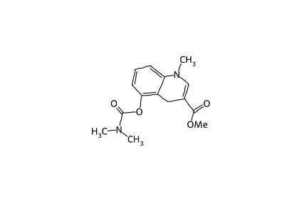 COC(=O)C1=CN(C)c2cccc(OC(=O)N(C)C)c2C1